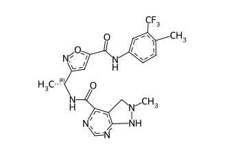 Cc1ccc(NC(=O)c2cc([C@@H](C)NC(=O)c3ncnc4c3CN(C)N4)no2)cc1C(F)(F)F